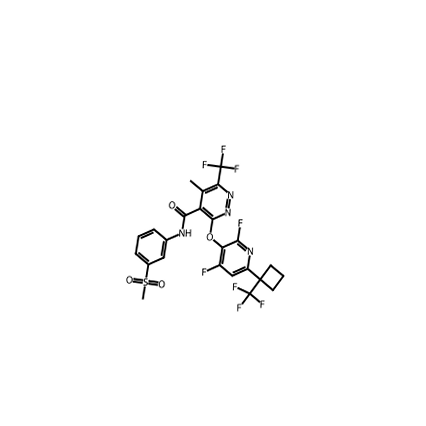 Cc1c(C(F)(F)F)nnc(Oc2c(F)cc(C3(C(F)(F)F)CCC3)nc2F)c1C(=O)Nc1cccc(S(C)(=O)=O)c1